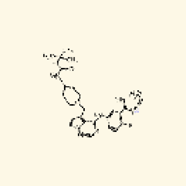 CC(C)(C)OC(=O)NC1CCN(Cc2ccn3ncnc(Nc4ccc(F)c(C(=N)/N=N\N)c4)c23)CC1